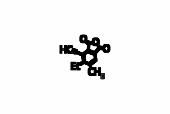 C#Cc1c(CC)c(C)cc2c1C(=O)OC2=O